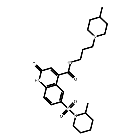 CC1CCN(CCCNC(=O)c2cc(=O)[nH]c3ccc(S(=O)(=O)N4CCCCC4C)cc23)CC1